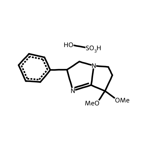 COC1(OC)CCN2CC(c3ccccc3)N=C21.O=S(=O)(O)O